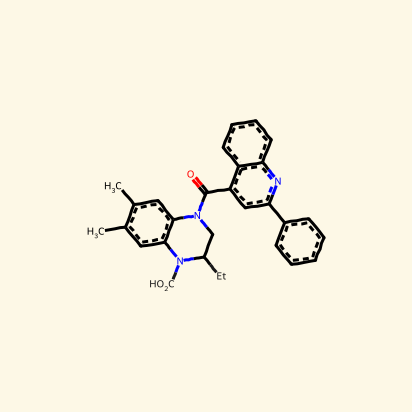 CCC1CN(C(=O)c2cc(-c3ccccc3)nc3ccccc23)c2cc(C)c(C)cc2N1C(=O)O